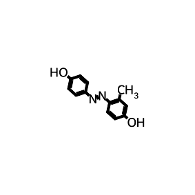 Cc1cc(O)ccc1N=Nc1ccc(O)cc1